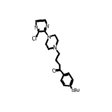 CC(C)(C)c1ccc(C(=O)CCCN2CCN(c3nccnc3Cl)CC2)cc1